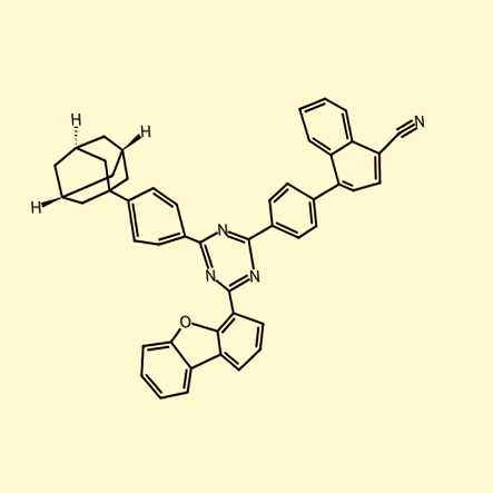 N#Cc1ccc(-c2ccc(-c3nc(-c4ccc(C56C[C@H]7C[C@@H](C5)C[C@@H](C6)C7)cc4)nc(-c4cccc5c4oc4ccccc45)n3)cc2)c2ccccc12